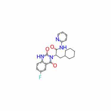 O=C(Nc1ccccn1)C(CC1CCCCC1)n1c(=O)[nH]c2ccc(F)cc2c1=O